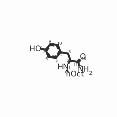 CCCCCCCCNC(Cc1ccc(O)cc1)C(N)=O